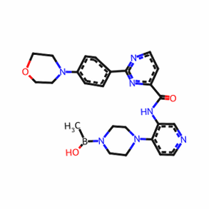 CB(O)N1CCN(c2ccncc2NC(=O)c2ccnc(-c3ccc(N4CCOCC4)cc3)n2)CC1